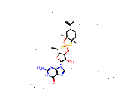 C=C(C)[C@@H]1CC[C@]2(C)S[P@@](=S)(O[C@H]3[C@@H](O)[C@H](n4cnc5c(=O)[nH]c(N)nc54)O[C@@H]3CC)O[C@H]2C1